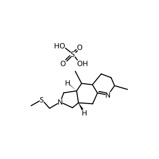 CSCN1C[C@H]2CC3=NC(C)CCC3C(C)[C@@H]2C1.O=S(=O)(O)O